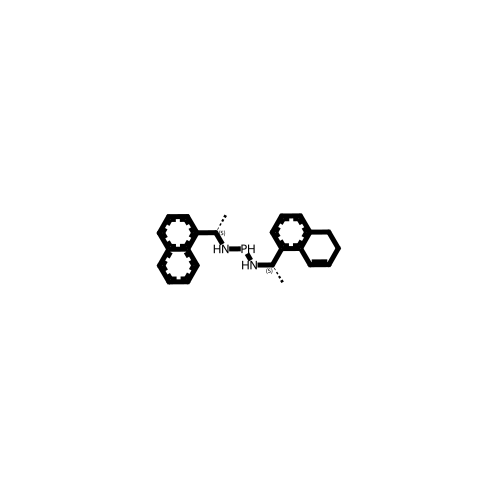 C[C@H](NPN[C@@H](C)c1cccc2ccccc12)c1cccc2c1C=CCC2